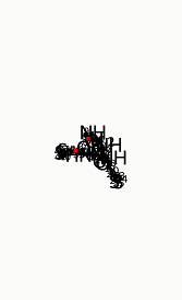 CC(C)(COC(C)(C)CN)NC(=O)C[C@H](NC(=O)CCCCC1CCSS1)C(=O)NCCNC(=O)CCCCC1CCSS1